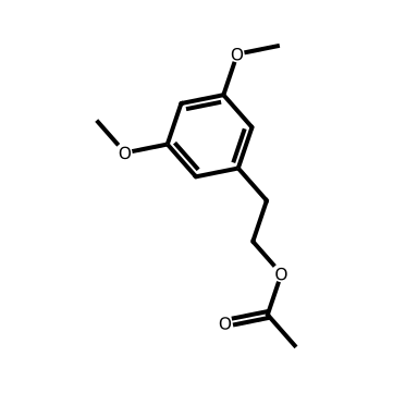 COc1cc(CCOC(C)=O)cc(OC)c1